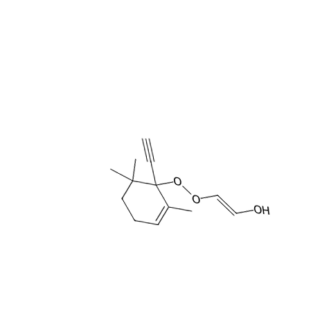 C#CC1(OOC=CO)C(C)=CCCC1(C)C